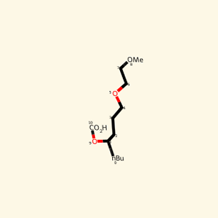 CCCCC(CCCOCCOC)OC(=O)O